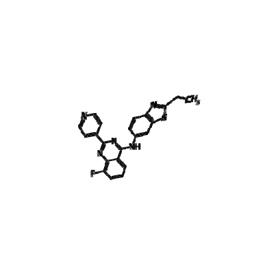 CCc1nc2ccc(Nc3nc(-c4ccncc4)nc4c(F)cccc34)cc2s1